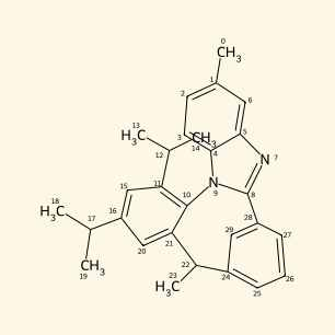 Cc1ccc2c(c1)nc1n2-c2c(C(C)C)cc(C(C)C)cc2C(C)c2cccc-1c2